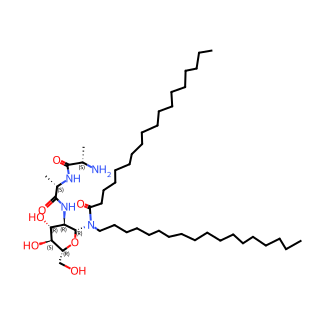 CCCCCCCCCCCCCCCCCCN(C(=O)CCCCCCCCCCCCCCCCC)[C@@H]1O[C@H](CO)[C@@H](O)[C@H](O)[C@H]1NC(=O)[C@H](C)NC(=O)[C@H](C)N